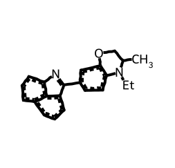 CCN1c2ccc(C3=Nc4cccc5cccc3c45)cc2OCC1C